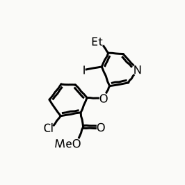 CCc1cncc(Oc2cccc(Cl)c2C(=O)OC)c1I